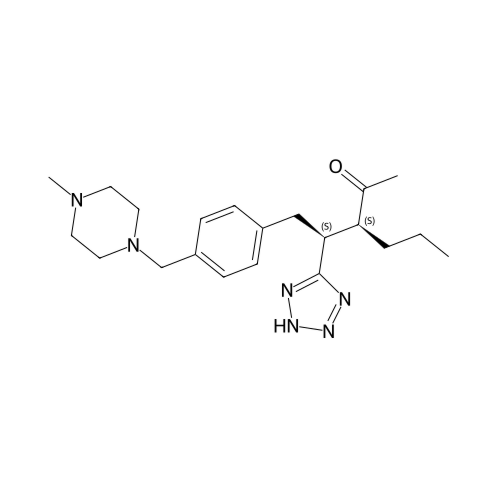 CCC[C@H](C(C)=O)[C@H](Cc1ccc(CN2CCN(C)CC2)cc1)c1nn[nH]n1